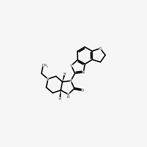 CCN1CC[C@H]2NC(=O)N(c3nc4c5c(ccc4s3)OCC5)[C@H]2C1